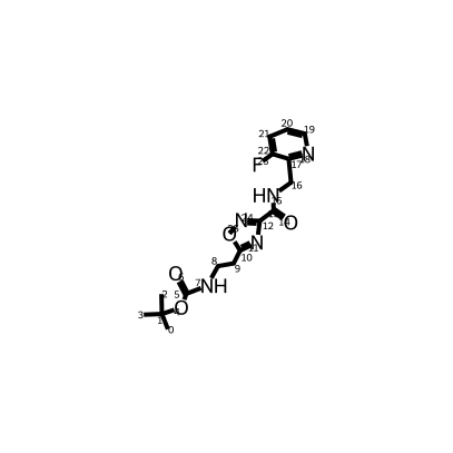 CC(C)(C)OC(=O)NCCc1nc(C(=O)NCc2ncccc2F)no1